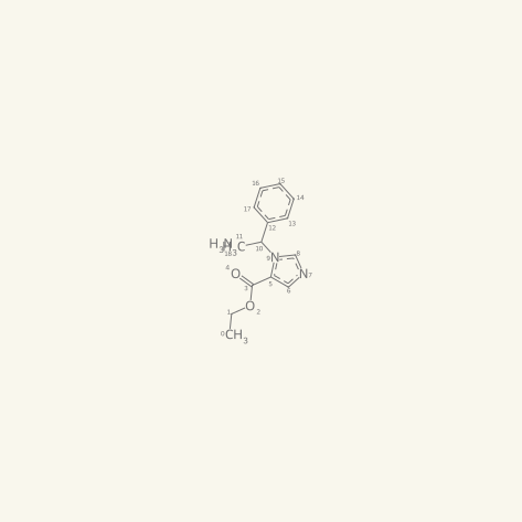 CCOC(=O)c1cncn1C(C)c1ccccc1.N